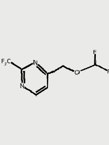 FC(F)OCc1c[c]nc(C(F)(F)F)n1